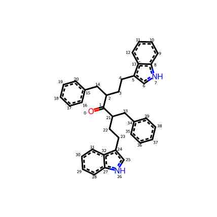 O=C(C(CCc1c[nH]c2ccccc12)Cc1ccccc1)C(CCc1c[nH]c2ccccc12)Cc1ccccc1